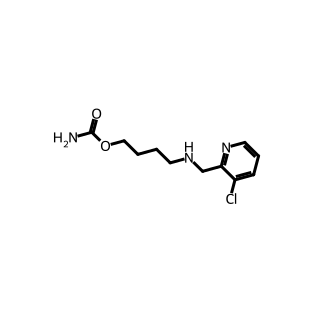 NC(=O)OCCCCNCc1ncccc1Cl